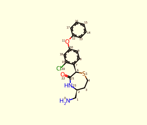 NC[C@@H]1CCS[C@H](c2ccc(Oc3ccccc3)cc2Cl)C(=O)N1